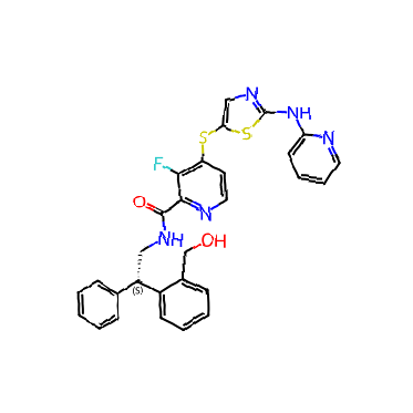 O=C(NC[C@@H](c1ccccc1)c1ccccc1CO)c1nccc(Sc2cnc(Nc3ccccn3)s2)c1F